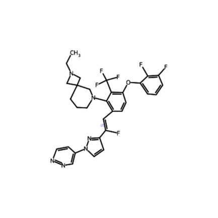 CCN1CC2(CCCN(c3c(/C=C(\F)c4ccn(-c5ccnnc5)n4)ccc(Oc4cccc(F)c4F)c3C(F)(F)F)C2)C1